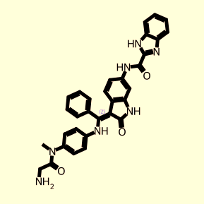 CN(C(=O)CN)c1ccc(N/C(=C2\C(=O)Nc3cc(NC(=O)c4nc5ccccc5[nH]4)ccc32)c2ccccc2)cc1